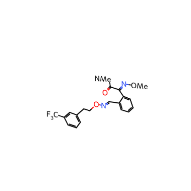 CNC(=O)/C(=N/OC)c1ccccc1/C=N/OCCc1cccc(C(F)(F)F)c1